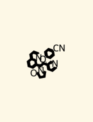 N#Cc1ccc(O[C@@H](c2cccnc2)[C@@H](c2cccc3cccnc23)N2CCCC2=O)cc1